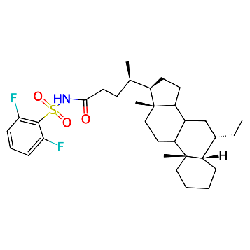 CC[C@H]1CC2C3CC[C@H]([C@H](C)CCC(=O)NS(=O)(=O)c4c(F)cccc4F)[C@@]3(C)CCC2[C@@]2(C)CCCC[C@@H]12